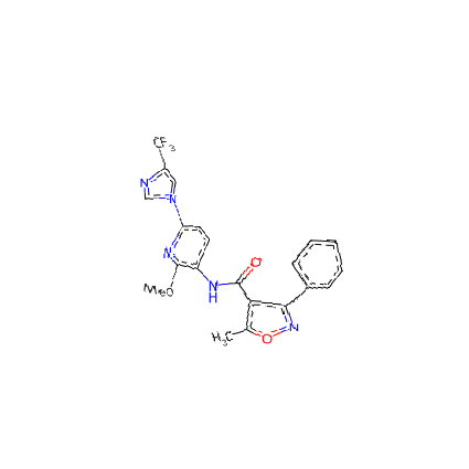 COc1nc(-n2cnc(C(F)(F)F)c2)ccc1NC(=O)c1c(-c2ccccc2)noc1C